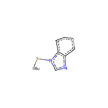 CCCCSn1cnc2ccccc21